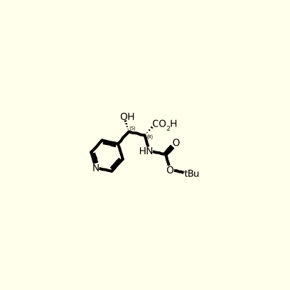 CC(C)(C)OC(=O)N[C@@H](C(=O)O)[C@@H](O)c1ccncc1